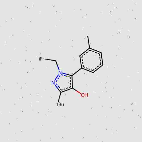 Cc1cccc(-c2c(O)c(C(C)(C)C)nn2CC(C)C)c1